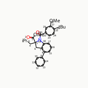 COC(=O)C1(CC(C)C)Cc2c(-c3ccccc3)cccc2N1C(=O)c1ccc(C(C)(C)C)c(OC)c1